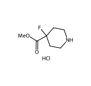 COC(=O)C1(F)CCNCC1.Cl